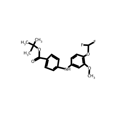 COc1cc(Nc2ccc(C(=O)OC(C)(C)C)cc2)ccc1OC(F)F